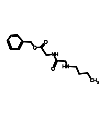 CCCCNCC(=O)NCC(=O)OCc1ccccc1